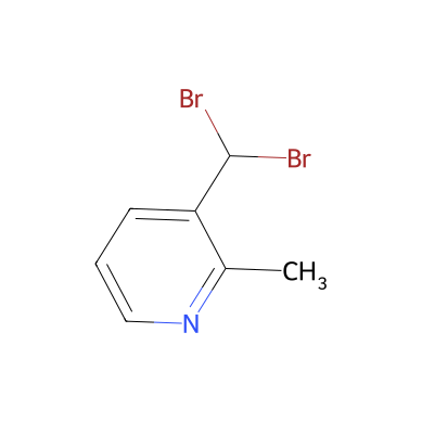 Cc1ncccc1C(Br)Br